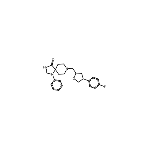 O=C1NCN(c2ccccc2)C12CCN(CC1CC(c3ccc(F)cc3)CO1)CC2